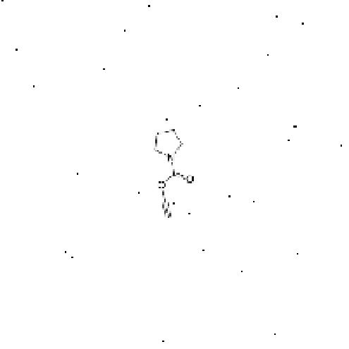 C#COC(=O)N1CCCC1